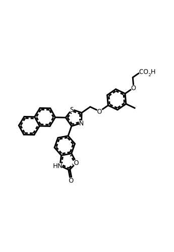 Cc1cc(OCc2nc(-c3ccc4[nH]c(=O)oc4c3)c(-c3ccc4ccccc4c3)s2)ccc1OCC(=O)O